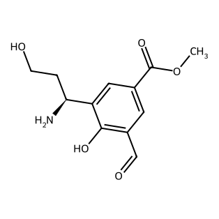 COC(=O)c1cc(C=O)c(O)c([C@@H](N)CCO)c1